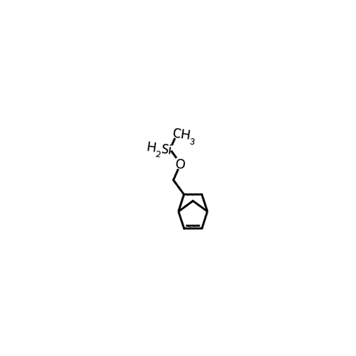 C[SiH2]OCC1CC2C=CC1C2